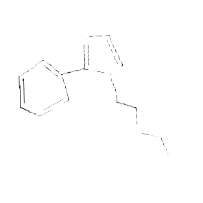 [CH2]COCCn1ccnc1-c1ccccc1